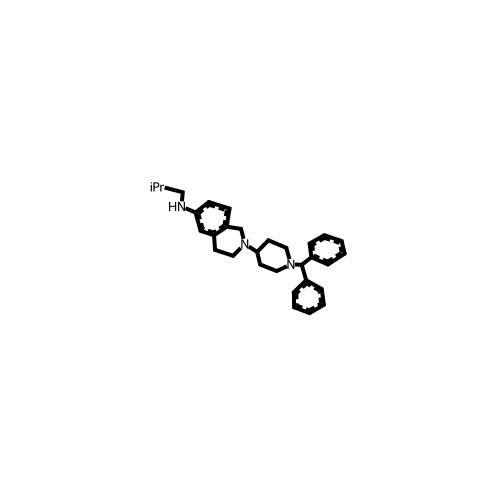 CC(C)CNc1ccc2c(c1)CCN(C1CCN(C(c3ccccc3)c3ccccc3)CC1)C2